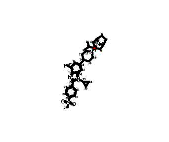 CC(C)CN1C2CCC1CC(N1CCC(c3cc(F)c4nc(-c5ccc(S(C)(=O)=O)cc5)n(C5CC5)c4c3)CC1)C2